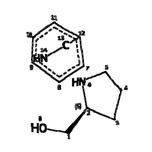 OC[C@@H]1CCCN1.c1cc2ccc1CN2